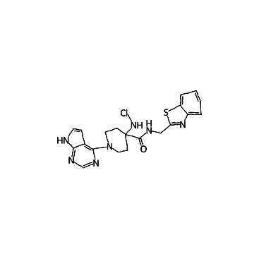 O=C(NCc1nc2ccccc2s1)C1(NCl)CCN(c2ncnc3[nH]ccc23)CC1